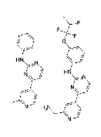 Cc1cc(-c2ccnc(Nc3ccccc3)n2)ccn1.NCc1cc(-c2ccnc(Nc3cccc(OC(F)(F)C(F)F)c3)n2)ccn1